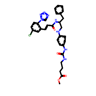 COC(=O)CCCNC(=O)Nc1ccc(NCC(Cc2ccccc2)NC(=O)C=Cc2cc(Cl)ccc2-n2cnnn2)cc1